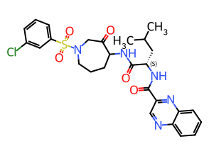 CC(C)C[C@H](NC(=O)c1cnc2ccccc2n1)C(=O)NC1CCCN(S(=O)(=O)c2cccc(Cl)c2)CC1=O